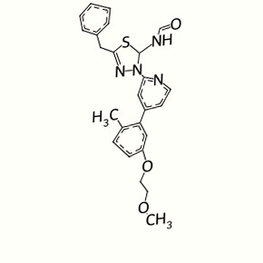 COCCOc1ccc(C)c(-c2ccnc(N3N=C(Cc4ccccc4)SC3NC=O)c2)c1